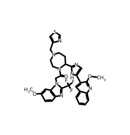 COc1ccc2nc(C(F)(F)F)n(CC(=O)N3CCN(Cc4cscn4)CCC3c3ncc(-c4cc5ccccc5nc4OC)[nH]3)c2c1